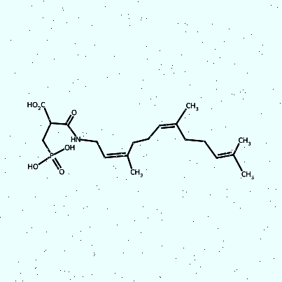 CC(C)=CCCC(C)=CCCC(C)=CCNC(=O)C(CP(=O)(O)O)C(=O)O